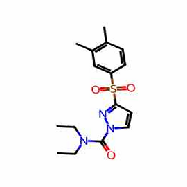 CCN(CC)C(=O)n1ccc(S(=O)(=O)c2ccc(C)c(C)c2)n1